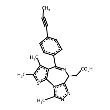 CC#Cc1ccc(C2=N[C@@H](CC(=O)O)c3nnc(C)n3-c3sc(C)c(C)c32)cc1